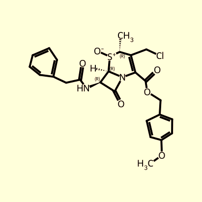 COc1ccc(COC(=O)C2=C(CCl)[C@@H](C)[S+]([O-])[C@@H]3[C@H](NC(=O)Cc4ccccc4)C(=O)N23)cc1